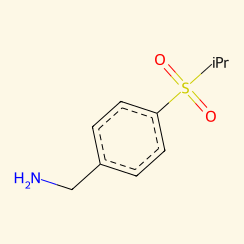 CC(C)S(=O)(=O)c1ccc(CN)cc1